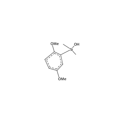 COc1ccc(OC)c([Si](C)(C)O)c1